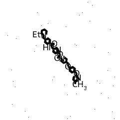 CCC1CCCCN1Cc1ccc(C(=O)Nc2ccc(OC(=O)N3CCC(COc4ccc(Oc5ccc(C)cn5)cc4)CC3)nc2)cc1